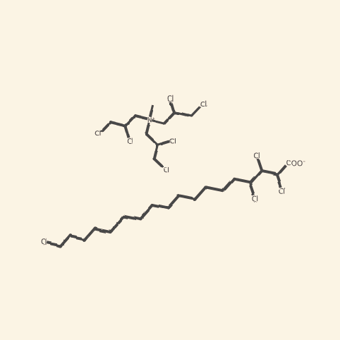 C[N+](CC(Cl)CCl)(CC(Cl)CCl)CC(Cl)CCl.O=C([O-])C(Cl)C(Cl)C(Cl)CCCCCCCCCCCCCCCl